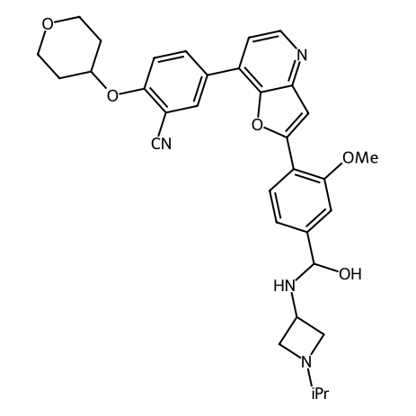 COc1cc(C(O)NC2CN(C(C)C)C2)ccc1-c1cc2nccc(-c3ccc(OC4CCOCC4)c(C#N)c3)c2o1